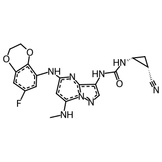 CNc1cc(Nc2cc(F)cc3c2OCCO3)nc2c(NC(=O)N[C@@H]3C[C@@H]3C#N)cnn12